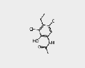 CCc1c(Cl)cc(NC(C)=O)c(O)c1Cl